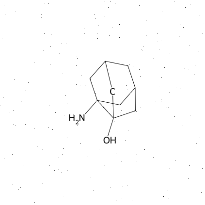 NC12CC3CC(C1)CC2(O)C3